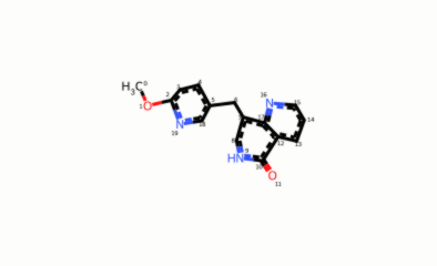 COc1ccc(Cc2c[nH]c(=O)c3cccnc23)cn1